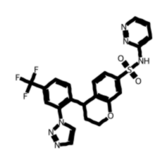 O=S(=O)(Nc1cccnn1)c1ccc2c(c1)OCCC2c1ccc(C(F)(F)F)cc1-n1ccnn1